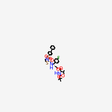 CC(C)[C@H](NC(=O)OC(C)(C)C)C(=O)OCC[C@H](NC(=O)[C@@H]1SCCN1S(=O)(=O)C1=C=C=C(c2ccccc2)C=C1)c1ccc(F)cc1